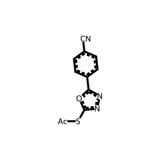 CC(=O)Sc1nnc(-c2ccc(C#N)cc2)o1